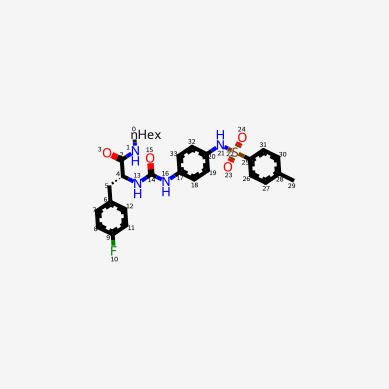 CCCCCCNC(=O)[C@@H](Cc1ccc(F)cc1)NC(=O)Nc1ccc(NS(=O)(=O)c2ccc(C)cc2)cc1